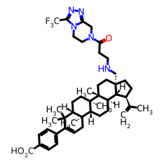 C=C(C)[C@@H]1CC[C@]2(CNCCC(=O)N3CCn4c(nnc4C(F)(F)F)C3)CC[C@]3(C)[C@H](CC[C@@H]4[C@@]5(C)CC=C(c6ccc(C(=O)O)cc6)C(C)(C)[C@@H]5CC[C@]43C)[C@@H]12